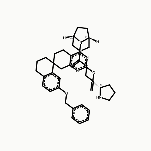 C=CCOC(=O)N1C[C@H]2CC[C@@H](C1)N2c1nc(OC[C@@H]2CCCN2)nc2c1CCC1(CCCc3ccc(OCc4ccccc4)cc31)C2